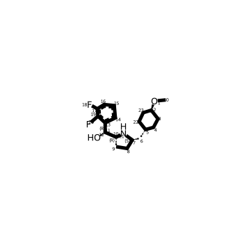 CO[C@H]1CC[C@H](C[C@@H]2CC[C@H]([C@H](O)c3cccc(F)c3F)N2)CC1